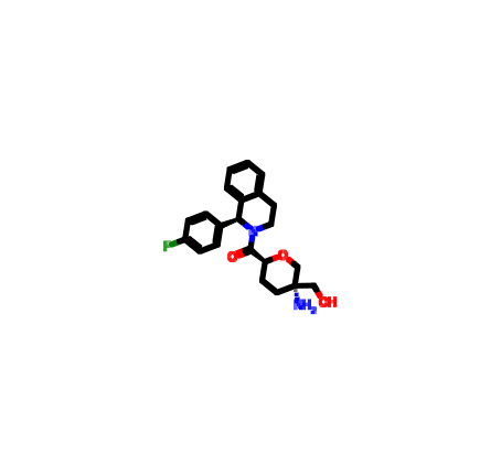 N[C@]1(CO)CC[C@@H](C(=O)N2CCc3ccccc3[C@@H]2c2ccc(F)cc2)OC1